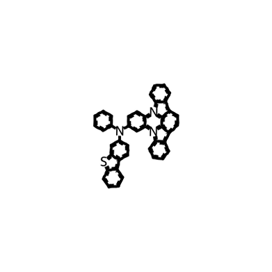 c1ccc(N(c2ccc3c(c2)sc2ccccc23)c2ccc3c(c2)n2c4ccccc4c4ccc5c6ccccc6n3c5c42)cc1